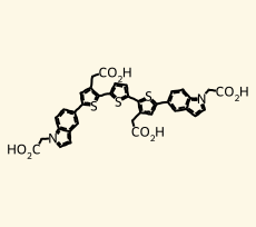 O=C(O)Cc1cc(-c2ccc3c(ccn3CC(=O)O)c2)sc1-c1ccc(-c2sc(-c3ccc4c(ccn4CC(=O)O)c3)cc2CC(=O)O)s1